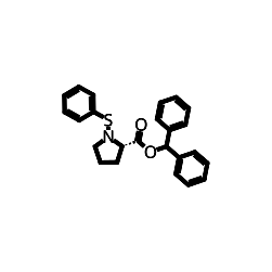 O=C(OC(c1ccccc1)c1ccccc1)[C@@H]1CCCN1Sc1ccccc1